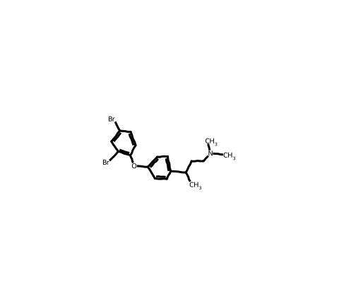 CC(CCN(C)C)c1ccc(Oc2ccc(Br)cc2Br)cc1